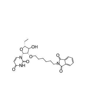 CC[C@H]1O[C@@H](n2ccc(=O)[nH]c2=O)[C@@H](OCCCCCCN2C(=O)c3ccccc3C2=O)C1O